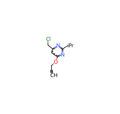 C#CCOc1cc(CCl)nc(C(C)C)n1